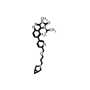 CC(C)n1c(=O)n(C)c2nnc3ccc(-c4ccc(COCCCN5CC6CC6C5)nc4)cc3c21